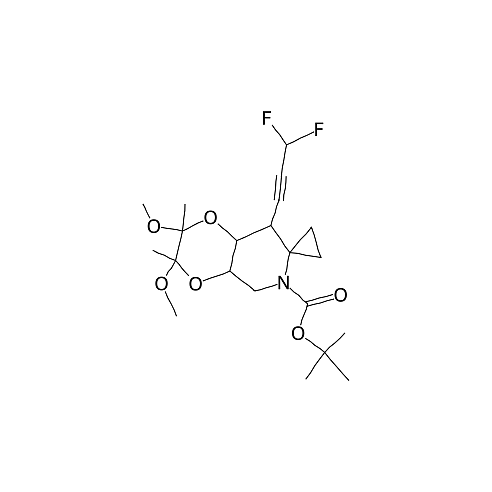 COC1(C)OC2CN(C(=O)OC(C)(C)C)C3(CC3)C(C#CC(F)F)C2OC1(C)OC